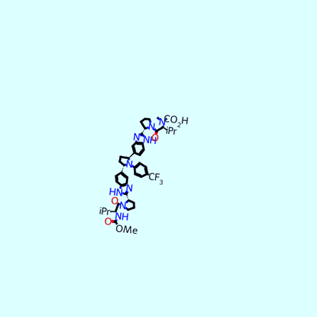 COC(=O)N[C@H](C(=O)N1CCC[C@H]1c1nc2cc([C@@H]3CC[C@@H](c4ccc5[nH]c([C@@H]6CCCN6C(=O)[C@H](C(C)C)N(C)C(=O)O)nc5c4)N3c3ccc(C(F)(F)F)cc3)ccc2[nH]1)C(C)C